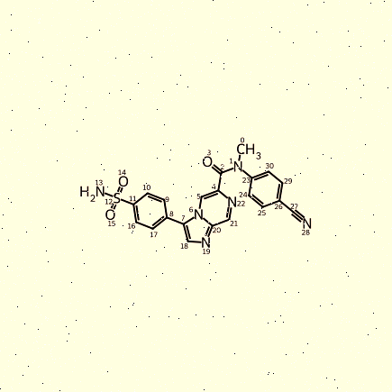 CN(C(=O)c1cn2c(-c3ccc(S(N)(=O)=O)cc3)cnc2cn1)c1ccc(C#N)cc1